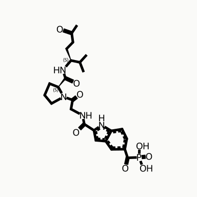 CC(=O)CC[C@H](NC(=O)[C@@H]1CCCN1C(=O)CNC(=O)c1cc2cc(C(=O)P(=O)(O)O)ccc2[nH]1)C(C)C